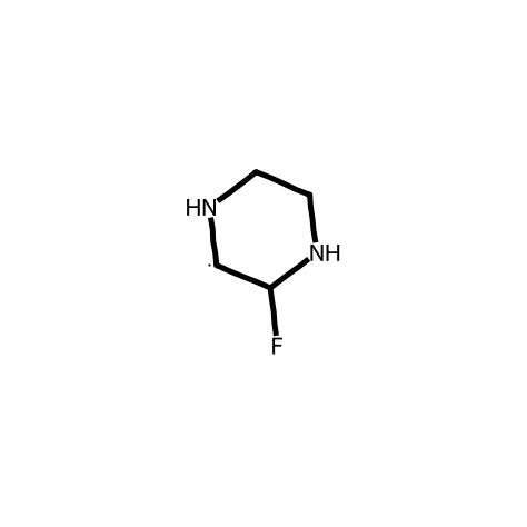 FC1[CH]NCCN1